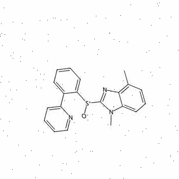 Cc1cccc2c1nc([S+]([O-])c1ccccc1-c1ccccn1)n2C